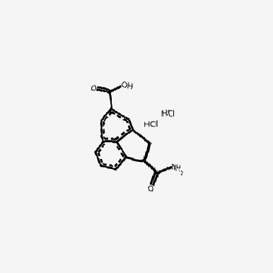 Cl.Cl.NC(=O)C1Cc2cc(C(=O)O)cc3cccc1c23